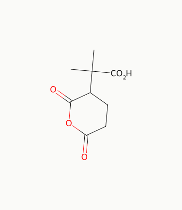 CC(C)(C(=O)O)C1CCC(=O)OC1=O